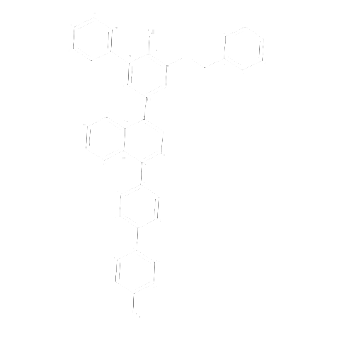 N#Cc1ccc(-c2ccc(-c3ccc(-c4cc(OCc5ccccc5)c(N)c(-c5ccccc5)c4)c4ccccc34)cc2)cc1